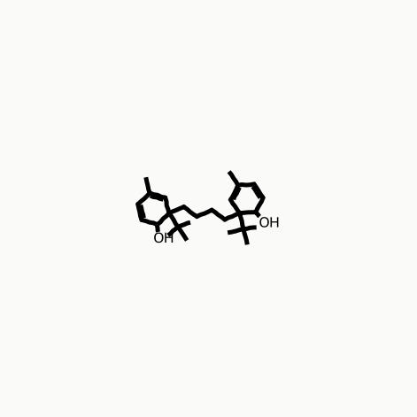 CC1=CC(CCCCC2(C(C)(C)C)C=C(C)C=CC2O)(C(C)(C)C)C(O)C=C1